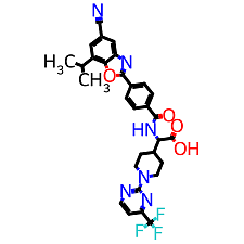 CC(C)c1cc(C#N)cc2nc(-c3ccc(C(=O)NC(C(=O)O)C4CCN(c5nccc(C(F)(F)F)n5)CC4)cc3)oc12